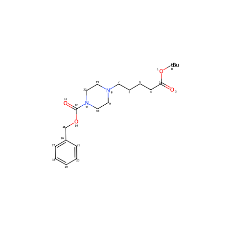 CC(C)(C)OC(=O)CCCCN1CCN(C(=O)OCc2ccccc2)CC1